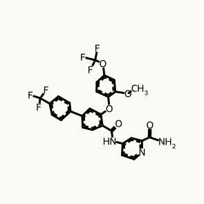 COc1cc(OC(F)(F)F)ccc1Oc1cc(-c2ccc(C(F)(F)F)cc2)ccc1C(=O)Nc1ccnc(C(N)=O)c1